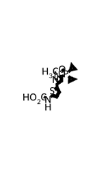 Cn1nc(-c2ccc(NC(=O)O)s2)cc1P(=O)(C1CC1)C1CC1